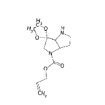 C=CCOC(=O)N1CC(OC)(OC)C2NCCC21